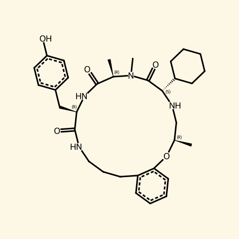 C[C@@H]1CN[C@@H](C2CCCCC2)C(=O)N(C)[C@H](C)C(=O)N[C@H](Cc2ccc(O)cc2)C(=O)NCCCc2ccccc2O1